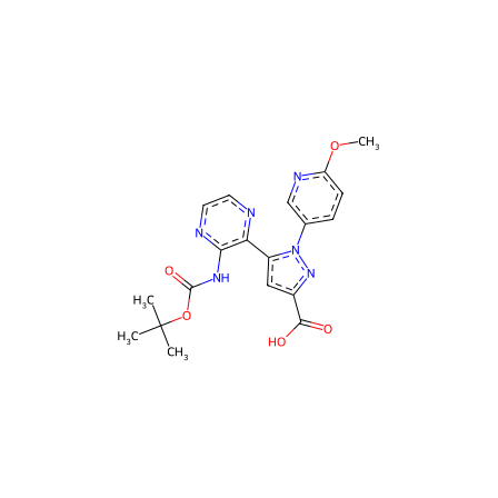 COc1ccc(-n2nc(C(=O)O)cc2-c2nccnc2NC(=O)OC(C)(C)C)cn1